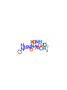 CC(Oc1nsc(NC(=O)NCCCNC2CCCCC2)c1C(N)=O)c1c(F)ccc(F)c1F